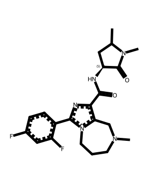 CC1C[C@H](NC(=O)c2nc(-c3ccc(F)cc3F)n3c2CN(C)CCC3)C(=O)N1C